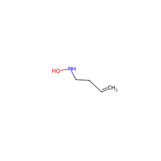 C=CCCNO